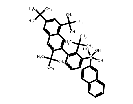 CC(C)(C)c1cc(C(C)(C)C)c2cc(-c3cccc(P(O)(O)(O)c4ccc5ccccc5c4)c3C(C)(C)C)c(C(C)(C)C)cc2c1